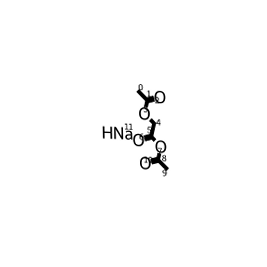 CC(=O)OCC(=O)OC(C)=O.[NaH]